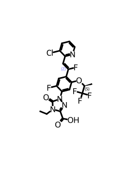 CCn1c(C(=O)O)nn(-c2cc(O[C@@H](C)C(F)(F)F)c(/C(F)=C/c3ncccc3Cl)cc2F)c1=O